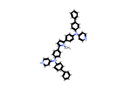 Cn1c(-c2ccc(N(c3ccncc3)c3ccc(-c4ccccc4)cc3)cc2)ccc1-c1ccc(N(c2ccncc2)c2ccc(-c3ccccc3)cc2)cc1